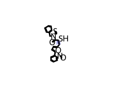 O=Nc1ccccc1-c1ccc(/C=C(/S)C(=O)N(C=S)Cc2ccccc2)o1